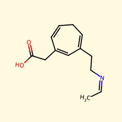 C/C=N\CCC1=CCC=CC(CC(=O)O)=C1